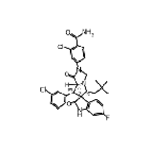 CC(C)(C)C[C@@H]1N2CN(c3ccc(C(N)=O)c(Cl)c3)C(=O)[C@H]2[C@H](c2cccc(Cl)c2)[C@]12C(=O)Nc1cc(F)ccc12